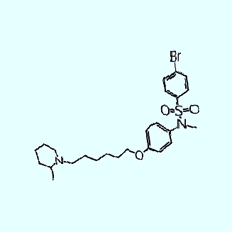 CC1CCCCN1CCCCCCOc1ccc(N(C)S(=O)(=O)c2ccc(Br)cc2)cc1